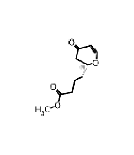 COC(=O)CCC[C@@H]1CC(=O)C=CO1